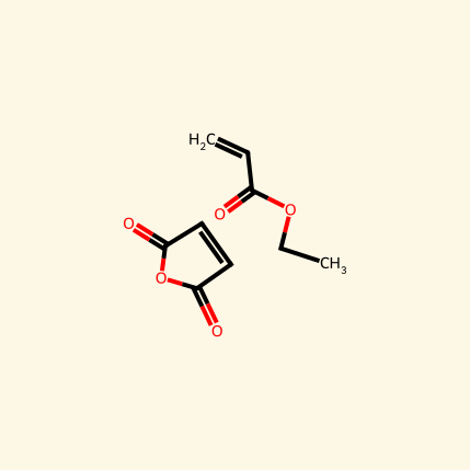 C=CC(=O)OCC.O=C1C=CC(=O)O1